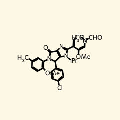 C/C=C(\C(=C/N(C)C=O)OC)c1nc2c(n1C(C)C)C(c1ccc(Cl)cc1)N(c1cc(C)ccc1OC)C2=O